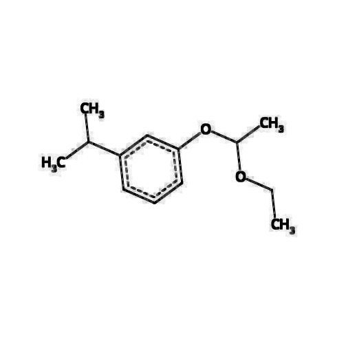 CCOC(C)Oc1cccc(C(C)C)c1